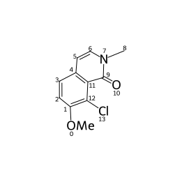 COc1ccc2ccn(C)c(=O)c2c1Cl